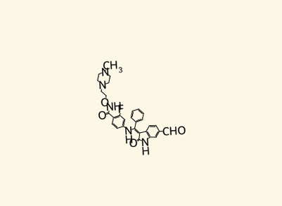 CN1CCN(CCONC(=O)c2ccc(N/C(=C3\C(=O)Nc4cc(C=O)ccc43)c3ccccc3)cc2F)CC1